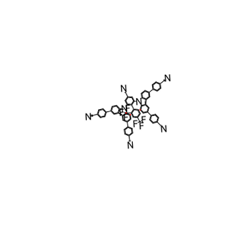 N#Cc1ccc(-c2ccc3c(c2)c2cc(-c4ccc(C#N)cc4)ccc2n3-c2cc(C#N)cc(-n3c4ccc(-c5ccc(C#N)cc5)cc4c4cc(-c5ccc(C#N)cc5)ccc43)c2-c2ccc(C(F)(F)F)cc2C(F)(F)F)cc1